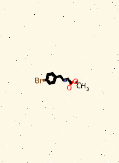 COC(=O)/C=C/Cc1ccc(Br)cc1